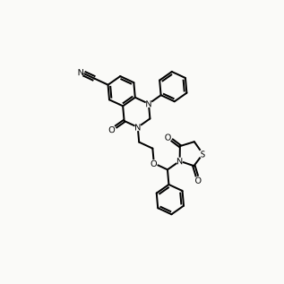 N#Cc1ccc2c(c1)C(=O)N(CCOC(c1ccccc1)N1C(=O)CSC1=O)CN2c1ccccc1